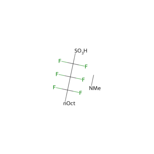 CCCCCCCCC(F)(F)C(F)(F)C(F)(F)S(=O)(=O)O.CNC